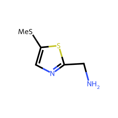 CSc1cnc(CN)s1